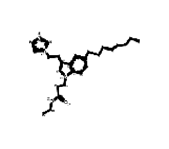 CCCCCCCCc1ccc2c(c1)C(CCn1ccnc1)CN2CCC(=O)OCC